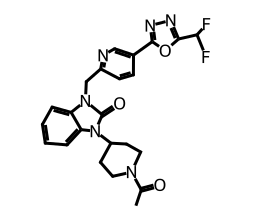 CC(=O)N1CCC(n2c(=O)n(Cc3ccc(-c4nnc(C(F)F)o4)cn3)c3ccccc32)CC1